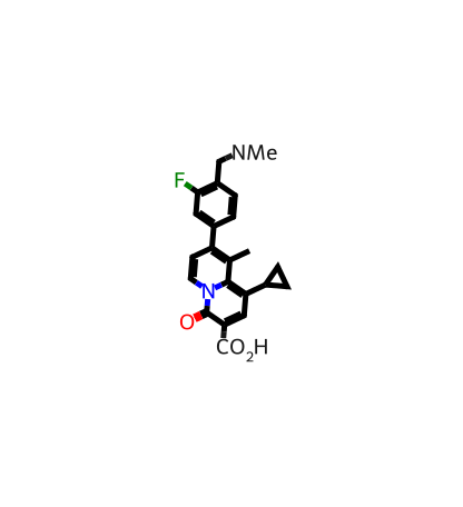 CNCc1ccc(-c2ccn3c(=O)c(C(=O)O)cc(C4CC4)c3c2C)cc1F